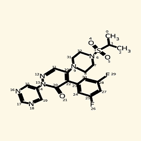 CC(C)S(=O)(=O)N1CCN(c2cnn(-c3cncnc3)c(=O)c2-c2cc(F)cc(F)c2)CC1